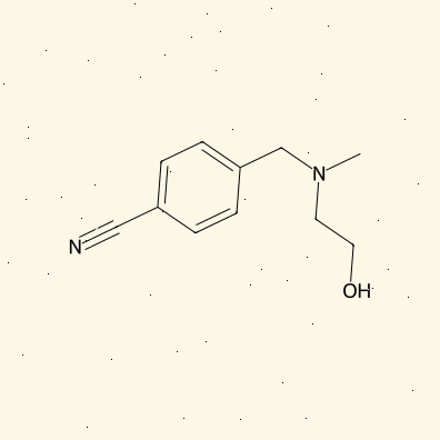 CN(CCO)Cc1ccc(C#N)cc1